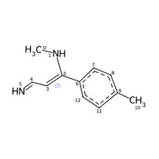 CN/C(=C\C=N)c1ccc(C)cc1